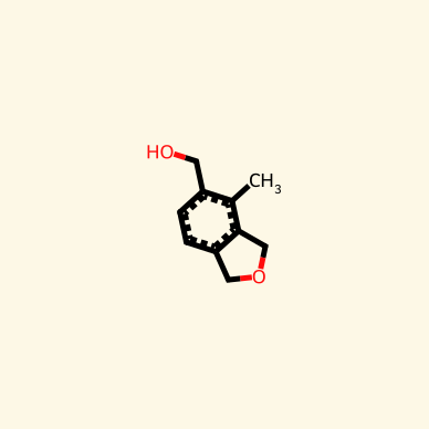 Cc1c(CO)ccc2c1COC2